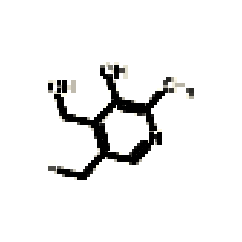 Cc1ncc(CF)c(CO)c1O